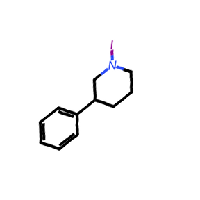 IN1CCCC(c2ccccc2)C1